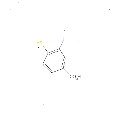 O=C(O)c1ccc(S)c(I)c1